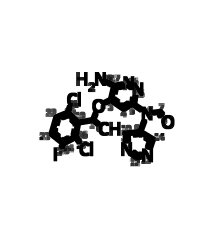 CC(Oc1cc(N(C=O)c2cncnc2)nnc1N)c1c(Cl)ccc(F)c1Cl